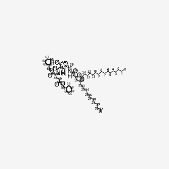 CCCCCCCCCCCCCCCC(=O)OC(CCCCCCCCCCCCCCC)CC(=O)N[C@H](C)C(=O)N[C@@H](C(=O)N[C@H](CCC(=O)OCc1ccccc1)C(=O)OCc1ccccc1)[C@H](C)O